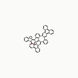 c1ccc2c(c1)-c1cc3c4ccccc4c4ccccc4c3cc1-c1cccc(-c3cccc4c3oc3ccccc34)c1-c1cc3c4ccccc4c4ccccc4c3cc1-2